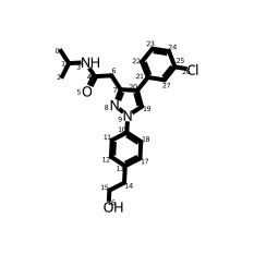 CC(C)NC(=O)Cc1nn(-c2ccc(CCO)cc2)cc1-c1cccc(Cl)c1